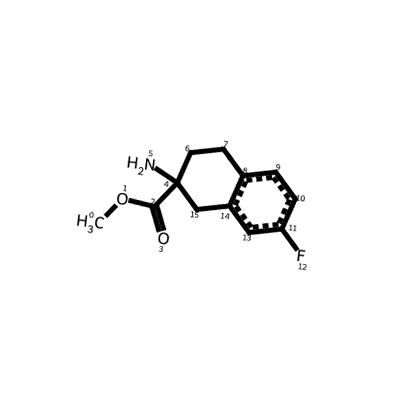 COC(=O)C1(N)CCc2ccc(F)cc2C1